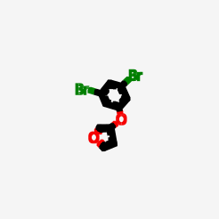 Brc1cc(Br)cc(Oc2ccoc2)c1